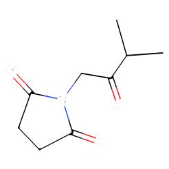 CC(C)C(=O)CN1C(=O)CCC1=O